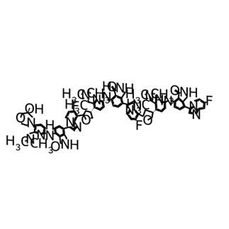 C[C@H](c1nc(Nc2ccc(-c3cnc4c(C5C[C@H](c6ccc(Nc7ccc(-c8cnc9cc(F)ccn89)c8c7C(=O)NC8)nc6[C@H](C)N(C)C)CO5)c(F)ccn34)c3c2C(=O)NC3)ccc1[C@@H]1COC(c2c(F)ccn3c(-c4ccc(Nc5ccc(N6CCOC[C@@H](O)C6)c(CN(C)C)n5)c5c4CNC5=O)cnc23)C1)N(C)C